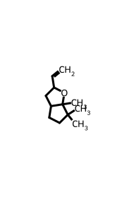 C=CC1CC2CCC(C)(C)C2(C)O1